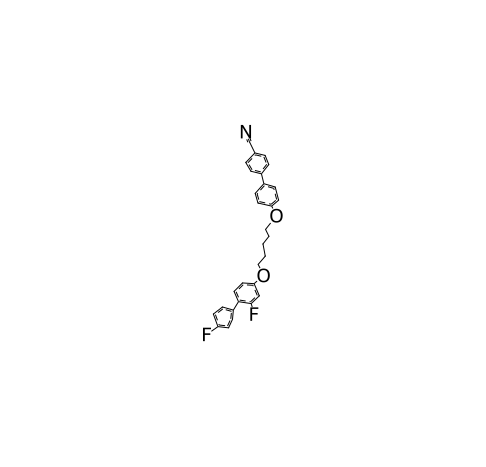 N#Cc1ccc(-c2ccc(OCCCCCOc3ccc(-c4ccc(F)cc4)c(F)c3)cc2)cc1